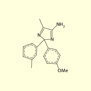 COc1ccc(C2(c3cccc(C)c3)N=C(C)C(N)=N2)cc1